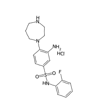 Cl.Nc1cc(S(=O)(=O)Nc2ccccc2F)ccc1N1CCCNCC1